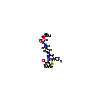 CNC(=O)c1csc2c(C(F)(F)F)cc(N3CC4(CN(C(=O)COC(C)(C)C)C4)C3)nc12